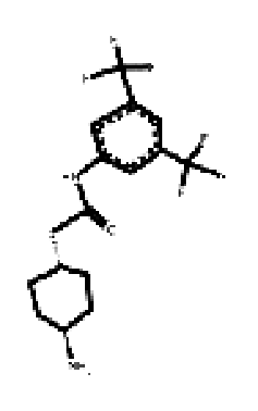 N[C@H]1CC[C@H](CC(=O)Nc2cc(C(F)(F)F)cc(C(F)(F)F)c2)CC1